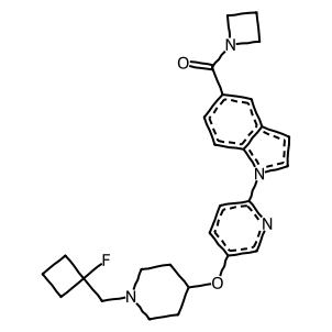 O=C(c1ccc2c(ccn2-c2ccc(OC3CCN(CC4(F)CCC4)CC3)cn2)c1)N1CCC1